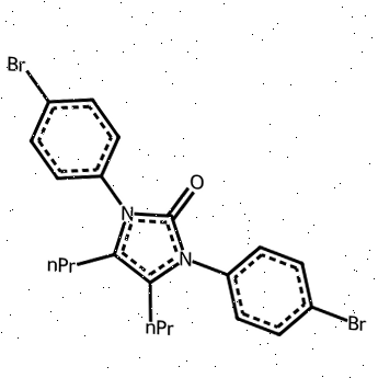 CCCc1c(CCC)n(-c2ccc(Br)cc2)c(=O)n1-c1ccc(Br)cc1